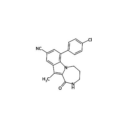 Cc1c2n(c3c(-c4ccc(Cl)cc4)cc(C#N)cc13)CCCNC2=O